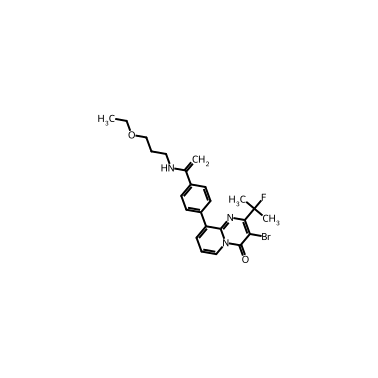 C=C(NCCCOCC)c1ccc(-c2cccn3c(=O)c(Br)c(C(C)(C)F)nc23)cc1